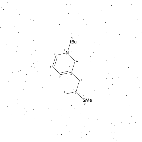 CSC(C)CC1=CC=CN(C(C)(C)C)C1